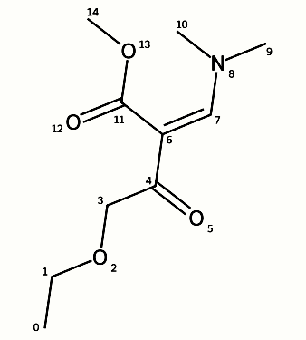 CCOCC(=O)C(=CN(C)C)C(=O)OC